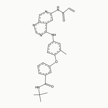 C=CC(=O)Nc1cc2c(Nc3ccc(Oc4cccc(C(=O)NC(C)(C)C)c4)c(C)c3)ncnc2cn1